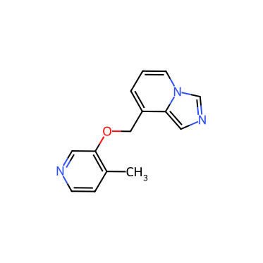 Cc1ccncc1OCc1cccn2cncc12